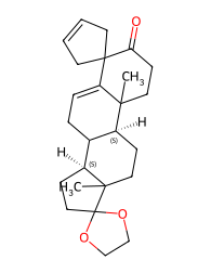 CC12CCC(=O)C3(CC=CC3)C1=CCC1[C@@H]2CCC2(C)[C@H]1CCC21OCCO1